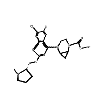 CN1CCC[C@H]1COc1nc(N2CCN(C(=O)OC(C)(C)C)C3CC32)c2cc(Cl)c(Cl)nc2n1